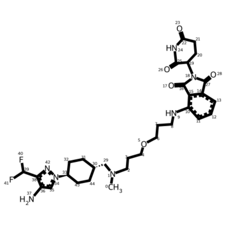 CN(CCCOCCCNc1cccc2c1C(=O)N(C1CCC(=O)NC1=O)C2=O)C[C@H]1CC[C@H](n2cc(N)c(C(F)F)n2)CC1